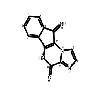 N=C1c2ccccc2-c2[nH]c(=O)c3nccn3c21